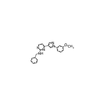 COc1cccc(-n2cc(-c3ccnc(NCc4ccccc4)n3)cn2)c1